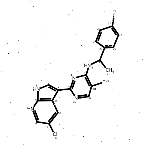 CC(Nc1nc(-c2c[nH]c3ncc(Cl)cc23)ncc1F)c1ccc(Cl)cc1